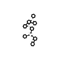 c1ccc(-c2nc(-c3cccc(-n4c5ccccc5c5ccc6c(c7ccccc7n6-c6ccccc6)c54)c3)nc(-c3cccc4c3oc3ccccc34)n2)cc1